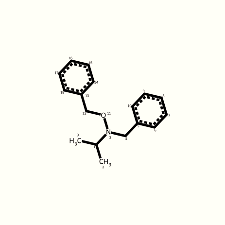 CC(C)N(Cc1ccccc1)OCc1ccccc1